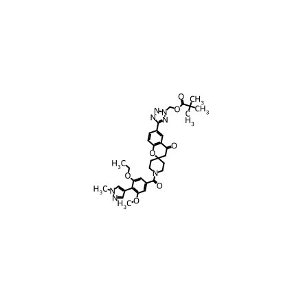 CCOc1cc(C(=O)N2CCC3(CC2)CC(=O)c2cc(-c4nnn(COC(=O)C(C)(C)C)n4)ccc2O3)cc(OC)c1-c1cnn(C)c1